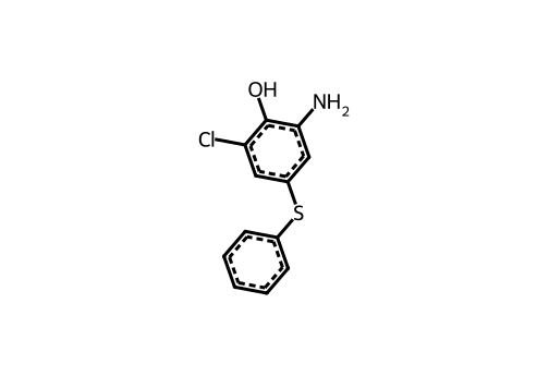 Nc1cc(Sc2ccccc2)cc(Cl)c1O